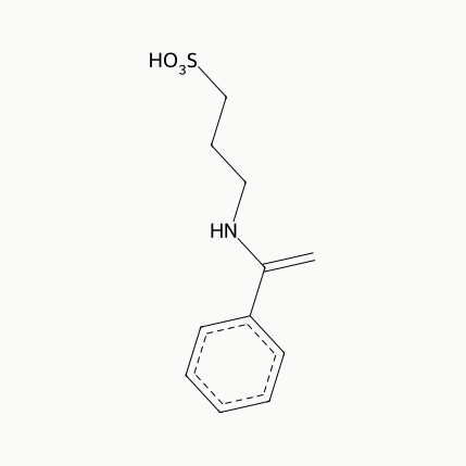 C=C(NCCCS(=O)(=O)O)c1ccccc1